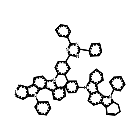 N#Cc1ccc(-n2c3ccccc3c3c4c(ccc32)c2c(n4-c3ccccc3)CCC=C2)cc1-c1cc(-c2nc(-c3ccccc3)nc(-c3ccccc3)n2)ccc1-n1c2ccccc2c2c1ccc1c3ccccc3n(-c3ccccc3)c12